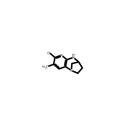 Cc1cc2c(nc1Cl)NC1CCN2C1